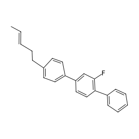 C/C=C/CCc1ccc(-c2ccc(-c3ccccc3)c(F)c2)cc1